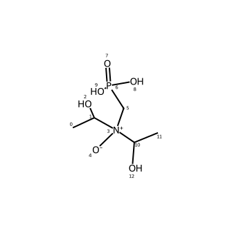 CC(O)[N+]([O-])(CP(=O)(O)O)C(C)O